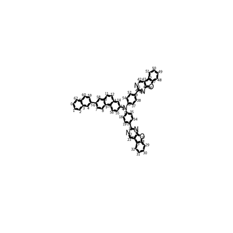 c1ccc2cc(-c3ccc4c(ccc5cc(N(c6ccc(-c7ncc8c(n7)oc7ccccc78)cc6)c6ccc(-c7ncc8c(n7)oc7ccccc78)cc6)ccc54)c3)ccc2c1